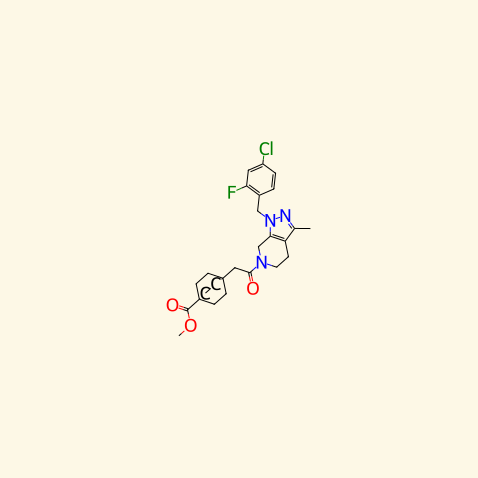 COC(=O)C12CCC(CC(=O)N3CCc4c(C)nn(Cc5ccc(Cl)cc5F)c4C3)(CC1)CC2